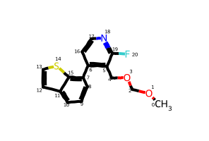 COCOCc1c(-c2cccc3ccsc23)ccnc1F